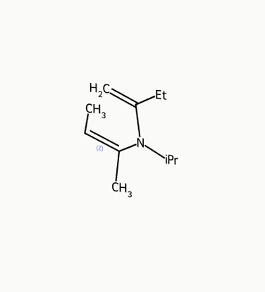 C=C(CC)N(/C(C)=C\C)C(C)C